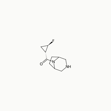 O=C([C@@H]1C[C@H]1F)N1C2CCC1CNC2